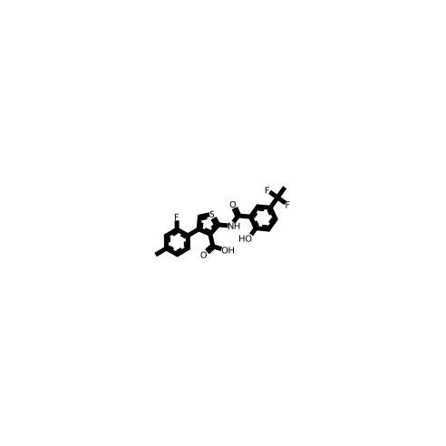 Cc1ccc(-c2csc(NC(=O)c3cc(C(C)(F)F)ccc3O)c2C(=O)O)c(F)c1